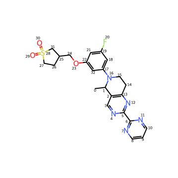 CC1c2cnc(-c3ncccn3)nc2CCN1c1cc(F)cc(OCC2CCS(=O)(=O)C2)c1